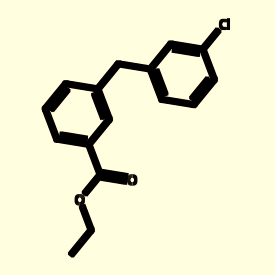 CCOC(=O)c1cccc(Cc2cccc(Cl)c2)c1